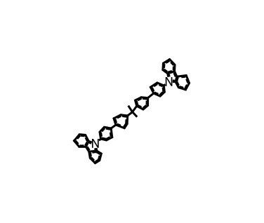 CC(C)(c1ccc(-c2ccc(-n3c4ccccc4c4ccccc43)cc2)cc1)c1ccc(-c2ccc(-n3c4ccccc4c4ccccc43)cc2)cc1